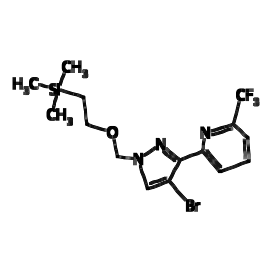 C[Si](C)(C)CCOCn1cc(Br)c(-c2cccc(C(F)(F)F)n2)n1